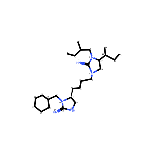 CCC(C)CN1C(=N)N(CCCC[C@H]2CNC(=N)N2CC2CCCCC2)CC1C(C)CC